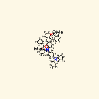 COC(=O)c1ccccc1-c1c2ccccc2c(-c2ccccc2C(=O)OC)c2cc(N(c3ccccc3)c3ccc(N(c4ccccc4)c4ccccc4)cc3)ccc12